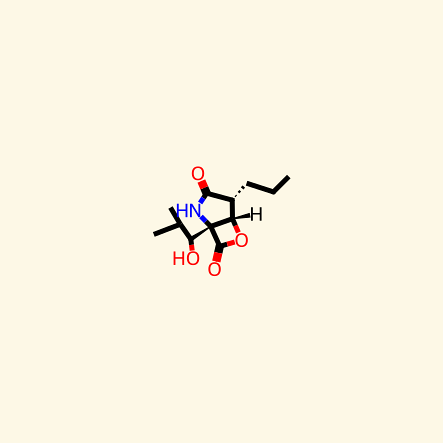 CCC[C@H]1C(=O)N[C@@]2(C(O)C(C)C)C(=O)O[C@@H]12